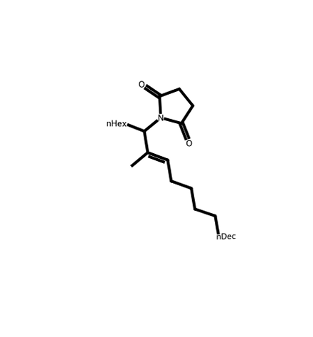 CCCCCCCCCCCCCCC=C(C)C(CCCCCC)N1C(=O)CCC1=O